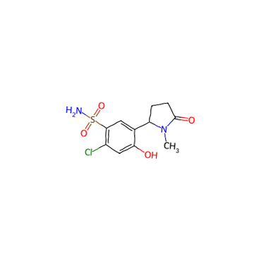 CN1C(=O)CCC1c1cc(S(N)(=O)=O)c(Cl)cc1O